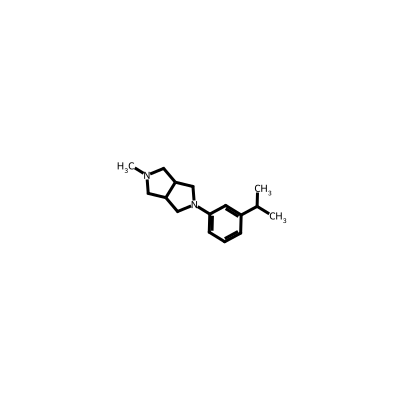 CC(C)c1cccc(N2CC3CN(C)CC3C2)c1